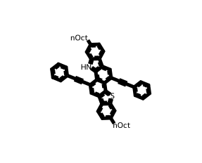 CCCCCCCCc1ccc2c(c1)[nH]c1c2cc(C#Cc2ccccc2)c2c3sc4cc(CCCCCCCC)ccc4c3cc(C#Cc3ccccc3)c12